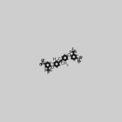 CC(C)(c1ccc(Oc2ccc([N+](=O)[O-])cc2C(F)(F)F)cc1)c1ccc(Oc2ccc([N+](=O)[O-])cc2C(F)(F)F)cc1